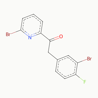 O=C(Cc1ccc(F)c(Br)c1)c1cccc(Br)n1